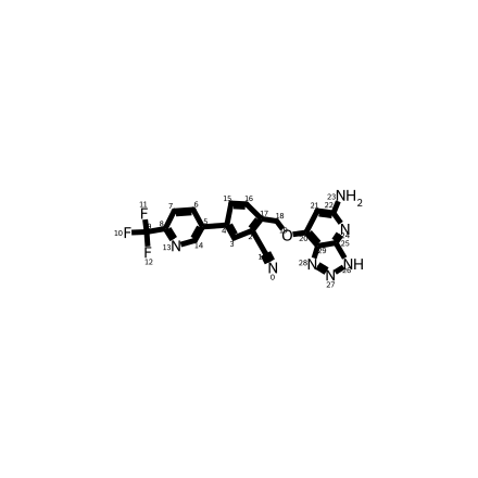 N#Cc1cc(-c2ccc(C(F)(F)F)nc2)ccc1COc1cc(N)nc2[nH]nnc12